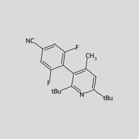 Cc1cc(C(C)(C)C)nc(C(C)(C)C)c1-c1c(F)cc(C#N)cc1F